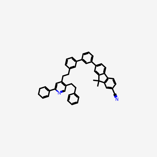 CC1(C)c2cc(C#N)ccc2-c2ccc(-c3cccc(-c4cccc(CCc5cc(C6=CCCC=C6)ncc5CCc5ccccc5)c4)c3)cc21